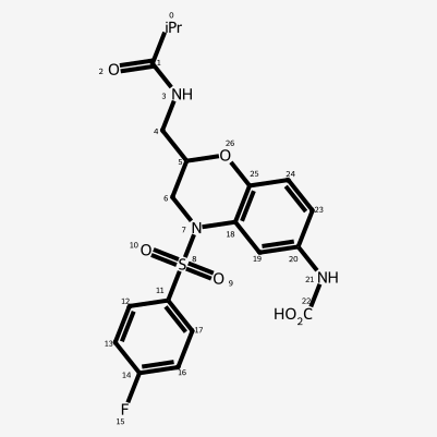 CC(C)C(=O)NCC1CN(S(=O)(=O)c2ccc(F)cc2)c2cc(NC(=O)O)ccc2O1